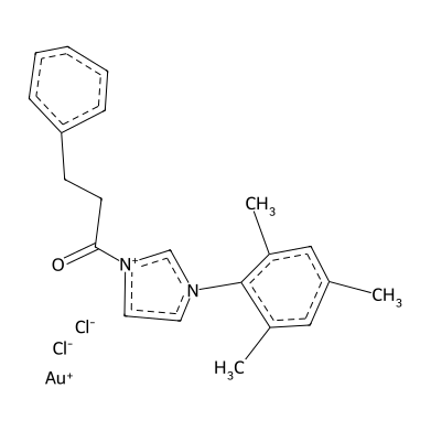 Cc1cc(C)c(-n2cc[n+](C(=O)CCc3ccccc3)c2)c(C)c1.[Au+].[Cl-].[Cl-]